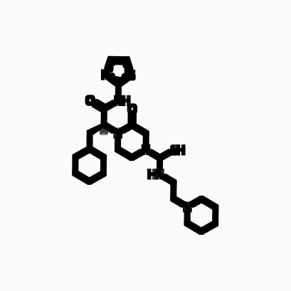 O=C(Nc1nccs1)[C@H](CC1CCCCC1)N1CCN(C(S)NCCN2CCCCC2)CC1=O